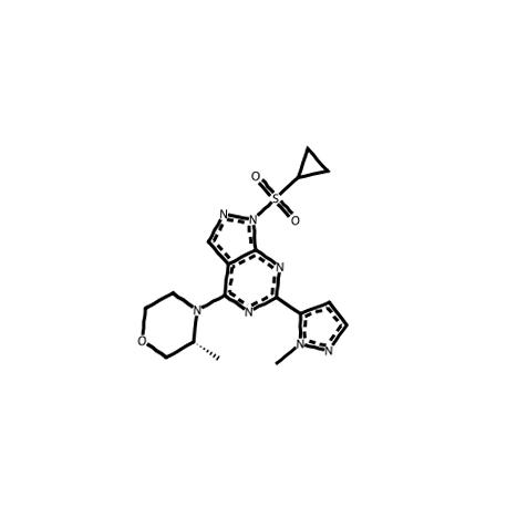 C[C@@H]1COCCN1c1nc(-c2ccnn2C)nc2c1cnn2S(=O)(=O)C1CC1